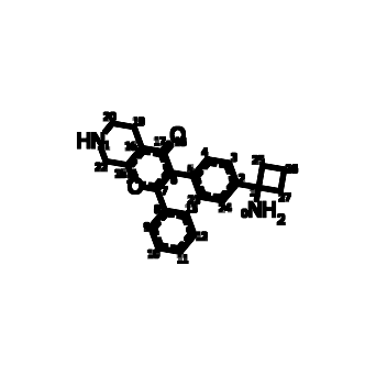 NC1(c2ccc(-c3c(-c4ccccc4)oc4c(c3=O)CCNC4)cc2)CCC1